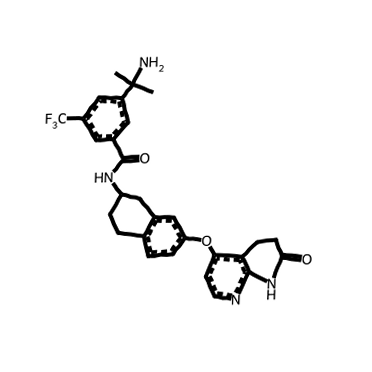 CC(C)(N)c1cc(C(=O)NC2CCc3ccc(Oc4ccnc5c4CCC(=O)N5)cc3C2)cc(C(F)(F)F)c1